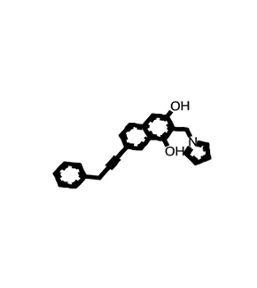 Oc1cc2ccc(C#CCc3ccccc3)cc2c(O)c1Cn1cccc1